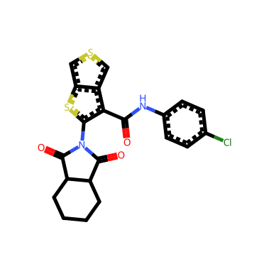 O=C(Nc1ccc(Cl)cc1)c1c(N2C(=O)C3CCCCC3C2=O)sc2cscc12